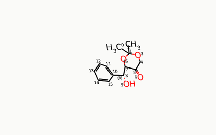 CC1(C)OCC(=O)C([C@H](O)c2ccccc2)O1